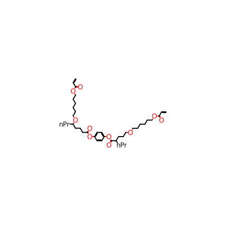 C=CC(=O)OCCCCCCOCCCC(CCC)C(=O)Oc1ccc(OC(=O)CCCC(CCC)OCCCCCCOC(=O)C=C)cc1